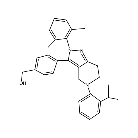 Cc1cccc(C)c1-n1nc2c(c1-c1ccc(CO)cc1)CN(c1ccccc1C(C)C)CC2